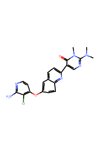 CN(C)c1ncc(-c2ccc3cc(Oc4ccnc(N)c4Cl)ccc3n2)c(=O)n1C